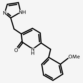 COc1ccccc1Cc1ccc(Cc2ncc[nH]2)c(=O)[nH]1